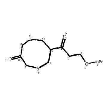 CCCOCCC(=O)C1CSCC(=O)CSC1